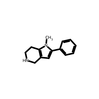 Cn1c(-c2ccccc2)cc2c1CCNC2